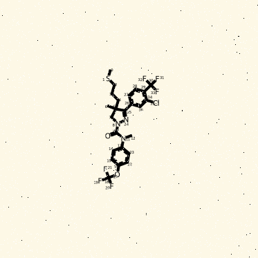 CSCCCC1(C)CN(C(=O)N(C)c2ccc(OC(F)(F)F)cc2)N=C1c1ccc(C(F)(F)F)c(Cl)c1